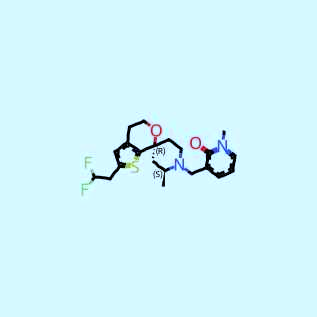 C[C@H]1C[C@@]2(CCN1Cc1cccn(C)c1=O)OCCc1cc(CC(F)F)sc12